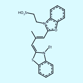 CCN1C(=CC(C)=Cc2oc3ccccc3[n+]2CCS(=O)(=O)O)Sc2ccccc21